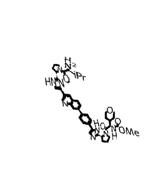 COC(=O)N[C@H](C(=O)N1CCC[C@H]1c1ncc(-c2ccc(-c3ccc4cc(-c5c[nH]c([C@@H]6CCCN6C(=O)[C@@H](N)C(C)C)n5)cnc4c3)cc2)[nH]1)C1CCOCC1